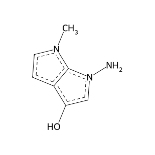 Cn1ccc2c(O)cn(N)c21